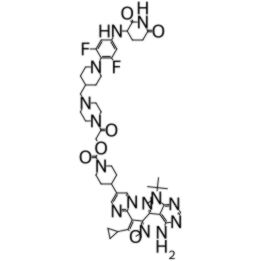 CC(C)(C)n1nc(-c2noc(C3CC3)c2-c2ncc(C3CCN(C(=O)OCC(=O)N4CCN(CC5CCN(c6c(F)cc(NC7CCC(=O)NC7=O)cc6F)CC5)CC4)CC3)cn2)c2c(N)ncnc21